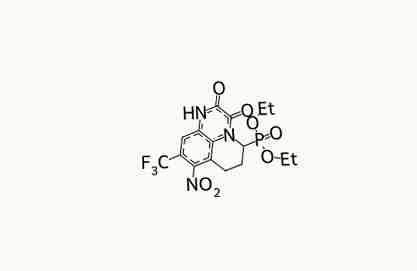 CCOP(=O)(OCC)C1CCc2c([N+](=O)[O-])c(C(F)(F)F)cc3[nH]c(=O)c(=O)n1c23